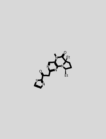 CC[C@@H]1CC[C@@]2(CC)C(=O)N(C)c3cnc(CC(=O)c4nccs4)nc3N12